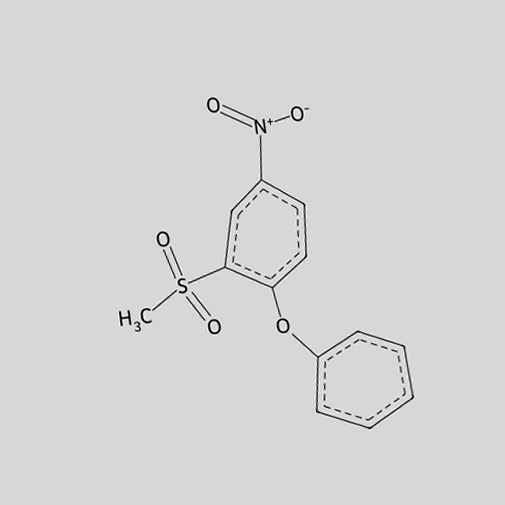 CS(=O)(=O)c1cc([N+](=O)[O-])ccc1Oc1ccccc1